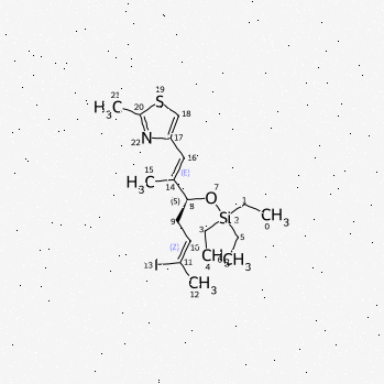 CC[Si](CC)(CC)O[C@@H](C/C=C(/C)I)/C(C)=C/c1csc(C)n1